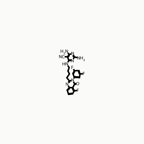 N#Cc1c(N)nc(N)nc1NCCCCc1nc2cccc(F)c2c(=O)n1-c1cc(F)cc(F)c1